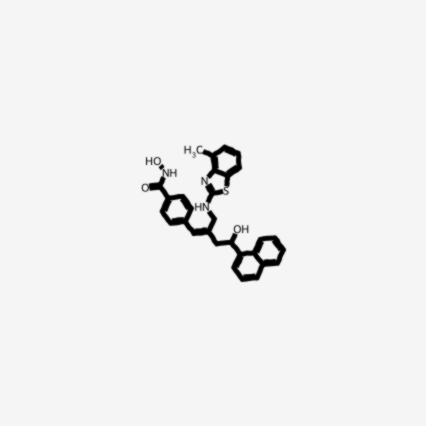 Cc1cccc2sc(NCC(=Cc3ccc(C(=O)NO)cc3)CC(O)c3cccc4ccccc34)nc12